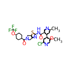 COc1cnc(Cl)cc1-c1cc(C)ncc1C(=O)Nc1nc2c(s1)CN(C(=O)C1CCC(OC(F)(F)F)CC1)C2